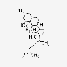 CC(C)CCC[C@H](C)[C@H]1CC[C@H]2C3=CC=C4C[C@@H](O)C[C@H](O)[C@]4(C)[C@H]3CC[C@]12C